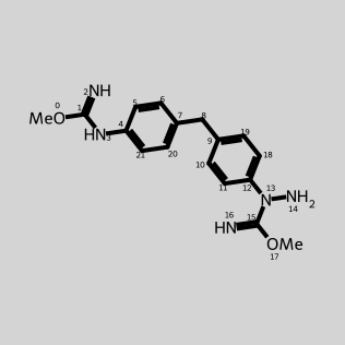 COC(=N)Nc1ccc(Cc2ccc(N(N)C(=N)OC)cc2)cc1